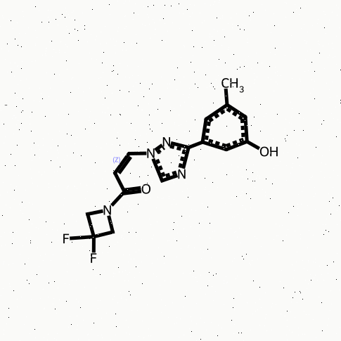 Cc1cc(O)cc(-c2ncn(/C=C\C(=O)N3CC(F)(F)C3)n2)c1